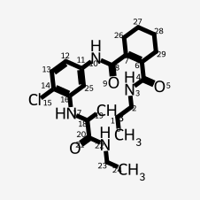 CCCNC(=O)C1=C(C(=O)Nc2ccc(Cl)c(NC(C)C(=O)NCC)c2)CCCC1